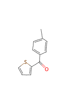 Cc1ccc(C(=O)c2cccs2)cc1